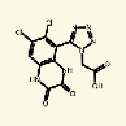 O=C(O)Cn1nnnc1-c1c(Cl)c(Cl)cc2[nH]c(=O)c(=O)[nH]c12